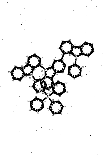 c1ccc(-n2c3ccccc3c3cccc(-c4ccc5c6ccccc6n(-c6cccc7c8ccccc8n(-c8ccc([Si](c9ccccc9)(c9ccccc9)c9ccccc9)cc8)c67)c5c4)c32)cc1